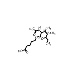 CCC1O[C@@H](OCCCCC(=O)O)C(NC(C)=O)[C@@H](C)[C@@H]1C